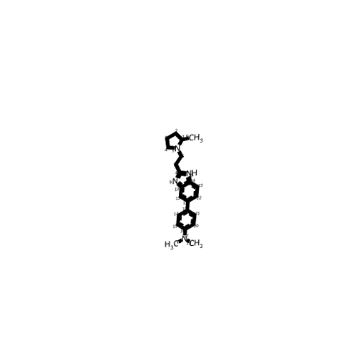 CC1CCCN1CCc1nc2cc(-c3ccc(N(C)C)cc3)ccc2[nH]1